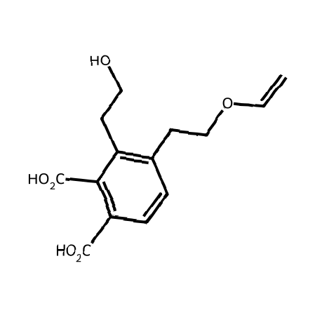 C=COCCc1ccc(C(=O)O)c(C(=O)O)c1CCO